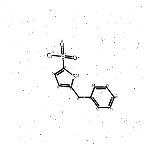 O=S(=O)(Cl)c1ccc(Cc2ccccc2)s1